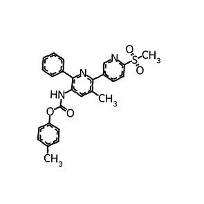 Cc1ccc(OC(=O)Nc2cc(C)c(-c3ccc(S(C)(=O)=O)nc3)nc2-c2ccccc2)cc1